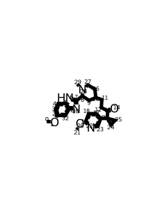 COc1ccc2[nH]c(C3CC(CCC(=O)C4(c5ccc(OC)nc5)CC4)CCN3C)nc2c1